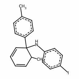 Cc1ccc(C2(Nc3ccc(I)cc3)C=CC=CC2C)cc1